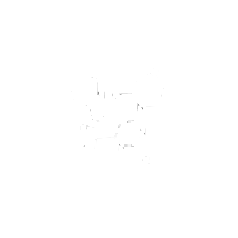 C[C@H]1COCCN1c1cc(C2(S(=O)(=O)C3CCCCC3)CC2)nc(Cl)n1